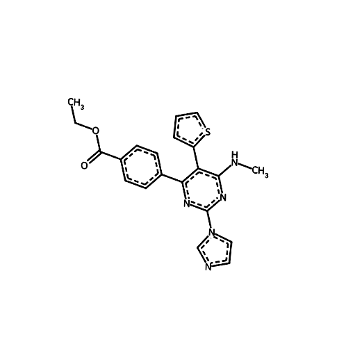 CCOC(=O)c1ccc(-c2nc(-n3ccnc3)nc(NC)c2-c2cccs2)cc1